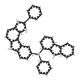 c1ccc(-c2nc3ccc4oc5ccc(N(c6ccccc6)c6cccc7c6sc6ccccc67)cc5c4c3o2)cc1